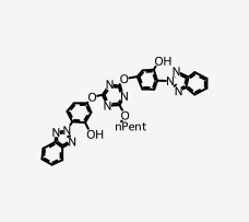 CCCCCOc1nc(Oc2ccc(-n3nc4ccccc4n3)c(O)c2)nc(Oc2ccc(-n3nc4ccccc4n3)c(O)c2)n1